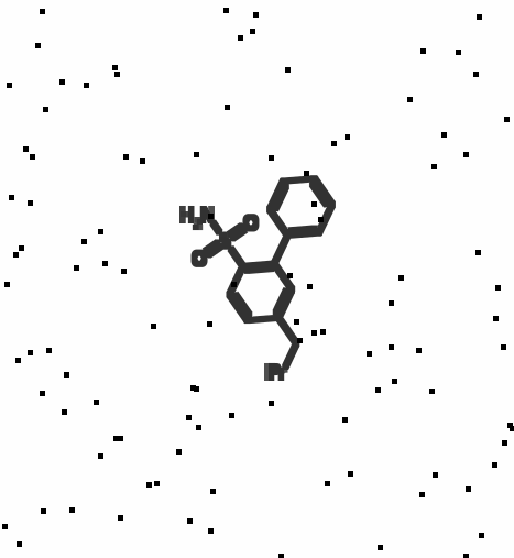 CC(C)Cc1ccc(S(N)(=O)=O)c(-c2ccccc2)c1